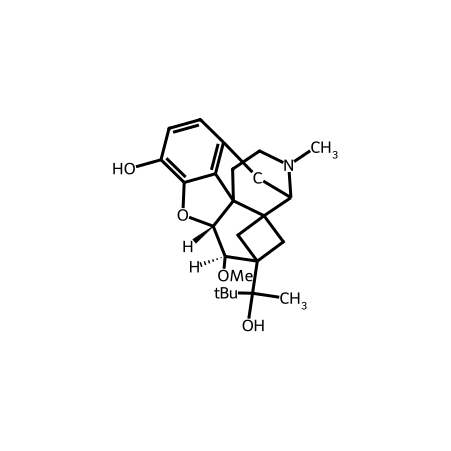 CO[C@H]1[C@@H]2Oc3c(O)ccc4c3C23CCN(C)C(C4)C32CC1(C(C)(O)C(C)(C)C)C2